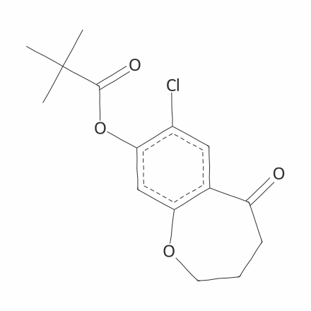 CC(C)(C)C(=O)Oc1cc2c(cc1Cl)C(=O)CCCO2